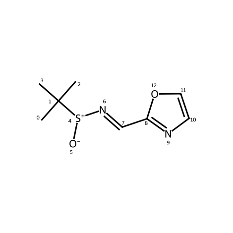 CC(C)(C)[S+]([O-])N=Cc1ncco1